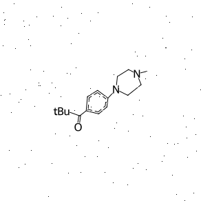 CN1CCN(c2ccc(C(=O)C(C)(C)C)cc2)CC1